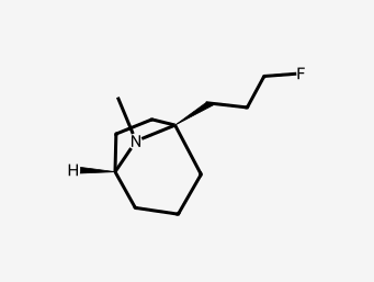 CN1[C@@H]2CCC[C@@]1(CCCF)CC2